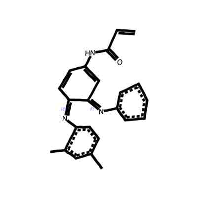 C=CC(=O)NC1=CC(=N\c2ccccc2)/C(=N\c2ccc(C)cc2C)C=C1